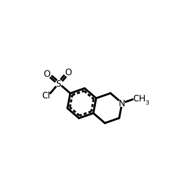 CN1CCc2ccc(S(=O)(=O)Cl)cc2C1